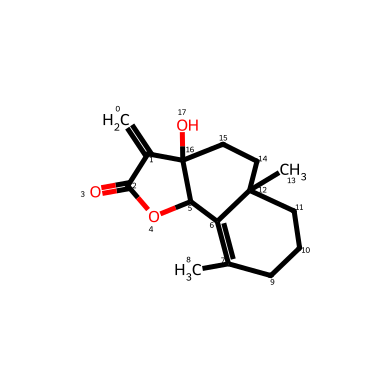 C=C1C(=O)OC2C3=C(C)CCCC3(C)CCC12O